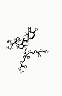 CC(C)OC(=O)OCOP(=O)(OCOC(=O)OC(C)C)OC[C@@]1(CF)O[C@@H](n2ccc(=O)[nH]c2=O)[C@](C)(O)[C@@H]1OC(=O)[C@H](C)C(C)C